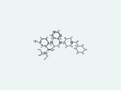 CCN(C(=O)c1cc(F)ccc1N1CCN(C2CCN(CC3CCCCC3)CC2)c2ncncc21)C(C)C